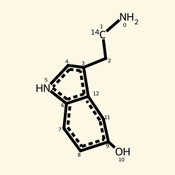 N[14CH2]Cc1c[nH]c2ccc(O)cc12